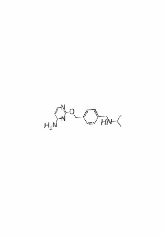 CC(C)NCc1ccc(COc2nccc(N)n2)cc1